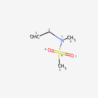 CN(CC=O)S(C)(=O)=O